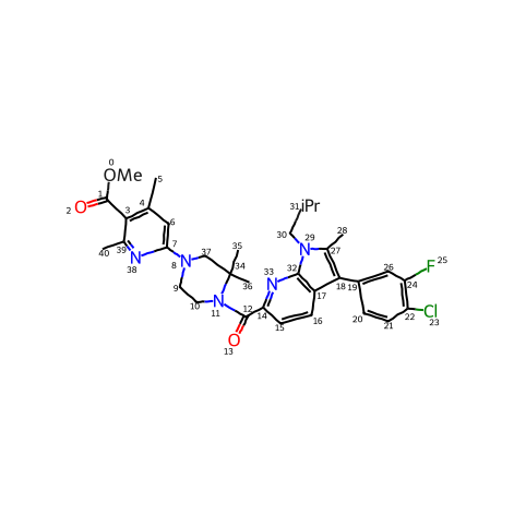 COC(=O)c1c(C)cc(N2CCN(C(=O)c3ccc4c(-c5ccc(Cl)c(F)c5)c(C)n(CC(C)C)c4n3)C(C)(C)C2)nc1C